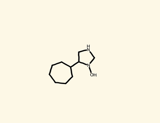 ON1CNCC1C1CCCCCC1